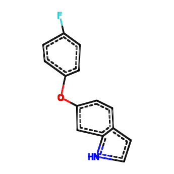 Fc1ccc(Oc2ccc3cc[nH]c3c2)cc1